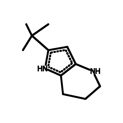 CC(C)(C)c1cc2c([nH]1)CCCN2